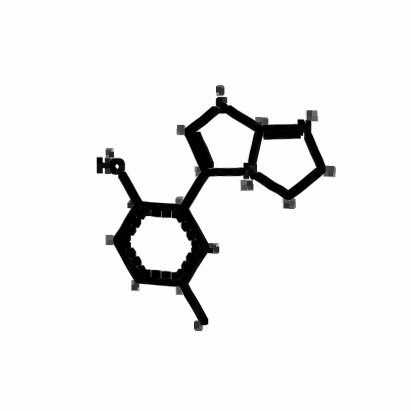 Cc1ccc(O)c(C2=CSC3=NCCN23)c1